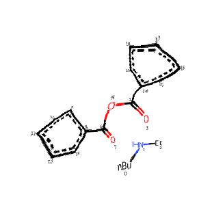 CCCCNCC.O=C(OC(=O)c1ccccc1)c1ccccc1